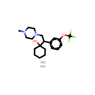 CN1CCN(CC(c2cccc(OC(F)(F)F)c2)C2(O)CCCCC2)CC1.Cl.Cl